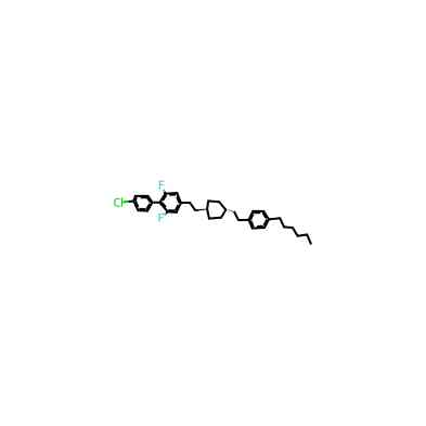 CCCCCCc1ccc(CC[C@H]2CC[C@H](CCc3cc(F)c(-c4ccc(Cl)cc4)c(F)c3)CC2)cc1